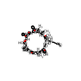 CCCC[C@H]1C(=O)N(C)[C@@H](CCCC)C(=O)N[C@@H](CC(C)C)C(=O)N[C@H](C(=O)NCC(=O)NCCCCCN=[N+]=[N-])CSCC(=O)N[C@@H](Cc2ccc(O)cc2)C(=O)N(C)[C@@H](C)C(=O)N[C@@H](CC(N)=O)C(=O)N2CCC[C@H]2C(=O)N[C@@H](CO)C(=O)N[C@@H](CCC(N)=O)C(=O)N2C[C@H](O)C[C@H]2C(=O)N[C@@H](Cc2c[nH]c3ccccc23)C(=O)N[C@@H](CO)C(=O)NC(Cc2c[nH]c3ccccc23)C(=O)N1C